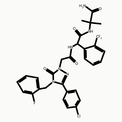 CC(C)(NC(=O)C(NC(=O)Cn1nc(-c2ccc(Cl)cc2)n(Cc2ccccc2F)c1=O)c1ccccc1C(F)(F)F)C(N)=O